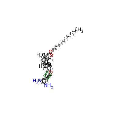 CCCCCCCCCCCCCCCCCCOC(=O)CC[C@@H](C)[C@H]1CC[C@H]2[C@@H]3CCC4CC(OC(F)(F)C(F)(F)C(F)(F)c5cc(N)cc(N)c5)CC[C@]4(C)[C@H]3CC[C@]12C